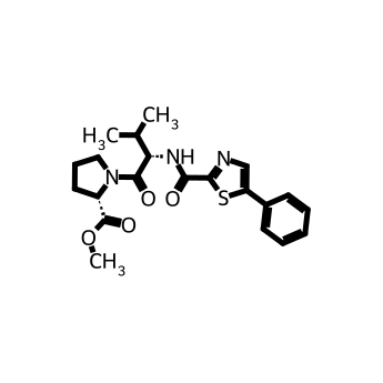 COC(=O)[C@@H]1CCCN1C(=O)[C@@H](NC(=O)c1ncc(-c2ccccc2)s1)C(C)C